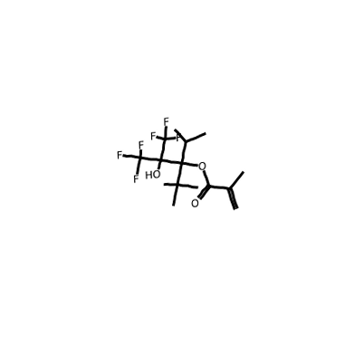 C=C(C)C(=O)OC(C(C)C)(C(C)(C)C)C(O)(C(F)(F)F)C(F)(F)F